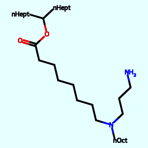 CCCCCCCCN(CCCN)CCCCCCCC(=O)OC(CCCCCCC)CCCCCCC